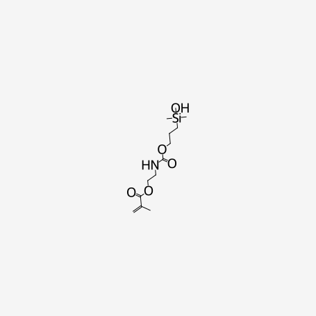 C=C(C)C(=O)OCCNC(=O)OCCC[Si](C)(C)O